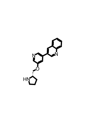 c1ccc2ncc(-c3cncc(OC[C@@H]4CCCN4)c3)cc2c1